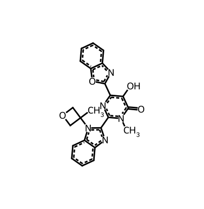 Cn1c(-c2nc3ccccc3n2C2(C)COC2)nc(-c2nc3ccccc3o2)c(O)c1=O